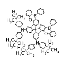 CC(C)(C)c1ccc(N(c2ccc(C(C)(C)C)cc2)c2ccc3c(c2)-c2c(ccc4c2Oc2ccccc2B4c2ccccc2)C32c3ccc(N(c4ccc(C(C)(C)C)cc4)c4ccc(C(C)(C)C)cc4)cc3-c3c2ccc2c3Oc3ccccc3B2c2ccccc2)cc1